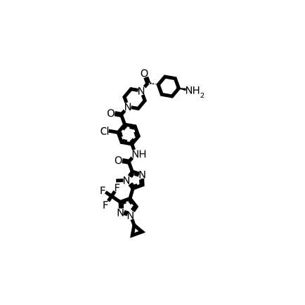 Cn1c(-c2cn(C3CC3)nc2C(F)(F)F)cnc1C(=O)Nc1ccc(C(=O)N2CCN(C(=O)[C@H]3CC[C@H](N)CC3)CC2)c(Cl)c1